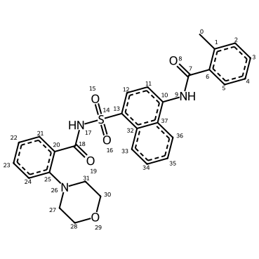 Cc1ccccc1C(=O)Nc1ccc(S(=O)(=O)NC(=O)c2ccccc2N2CCOCC2)c2ccccc12